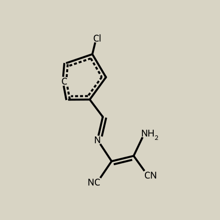 N#CC(N)=C(C#N)N=Cc1cccc(Cl)c1